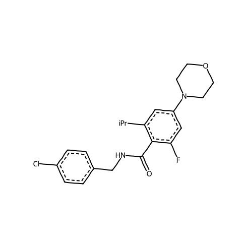 CC(C)c1cc(N2CCOCC2)cc(F)c1C(=O)NCc1ccc(Cl)cc1